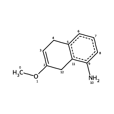 COC1=CCc2cccc(N)c2C1